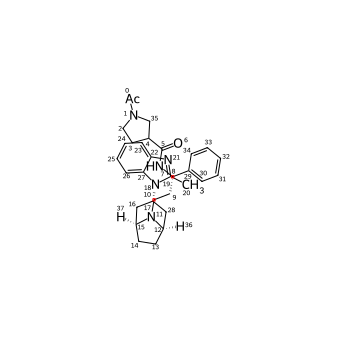 CC(=O)N1CCC(C(=O)N[C@@H](CCN2[C@@H]3CC[C@H]2C[C@H](n2c(C)nc4ccccc42)C3)c2ccccc2)C1